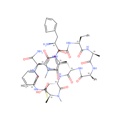 CC(C)C[C@H](NC(=O)CNC(=O)[C@H](Cc1ccccc1)N(C)C(=O)[C@H](C)NC(=O)[C@@H](N)Cc1ccccc1)C(=O)N[C@@H](C)C(=O)N[C@H](C(=O)N[C@@H](Cc1ccccc1)C(=O)N[C@@H](CC(O)=S)C(=O)N(C)[C@@H](C)C(=O)N[C@@H](CNCC(N)=O)C(=O)O)C(C)C